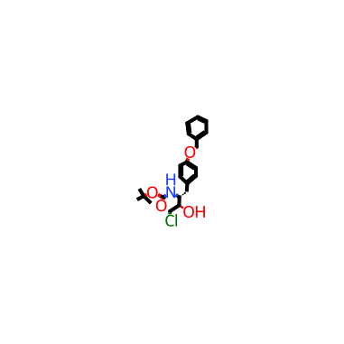 CC(C)(C)OC(=O)N[C@H](Cc1ccc(OCc2ccccc2)cc1)[C@@H](O)CCl